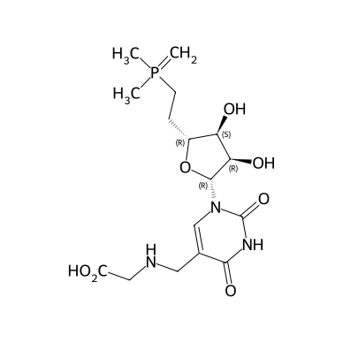 C=P(C)(C)CC[C@H]1O[C@@H](n2cc(CNCC(=O)O)c(=O)[nH]c2=O)[C@H](O)[C@@H]1O